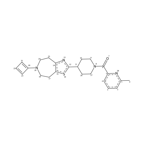 Cc1cccc(C(=O)N2CCC(c3nc4c(s3)CCN(C3=CC=C3)CC4)CC2)n1